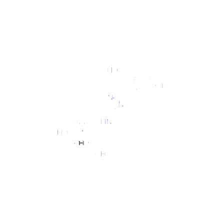 CCCCc1ncc(CNC(=O)C(CSC(=O)C(C)C)CC(C)C)n1Cc1ccc(C(=O)O)c(Br)c1